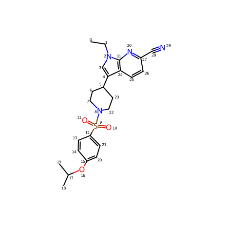 CCn1cc(C2CCN(S(=O)(=O)c3ccc(OC(C)C)cc3)CC2)c2ccc(C#N)nc21